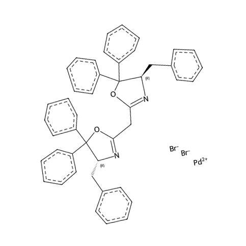 [Br-].[Br-].[Pd+2].c1ccc(C[C@H]2N=C(CC3=N[C@H](Cc4ccccc4)C(c4ccccc4)(c4ccccc4)O3)OC2(c2ccccc2)c2ccccc2)cc1